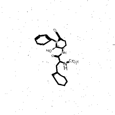 O=C(O)NC(CC1CCCCC1)C(=O)N[C@@H]1CCC(=O)N(c2ccccc2)[C@@H]1O